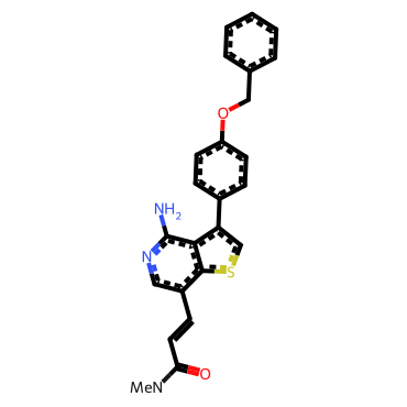 CNC(=O)C=Cc1cnc(N)c2c(-c3ccc(OCc4ccccc4)cc3)csc12